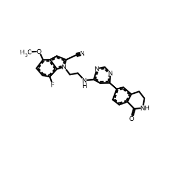 COc1ccc(F)c2c1cc(C#N)n2CCNc1cc(-c2ccc3c(c2)CCNC3=O)ncn1